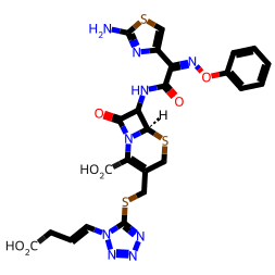 Nc1nc(/C(=N/Oc2ccccc2)C(=O)NC2C(=O)N3C(C(=O)O)=C(CSc4nnnn4/C=C/CC(=O)O)CS[C@H]23)cs1